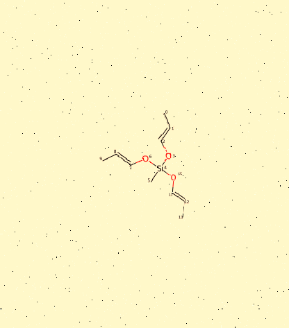 CC=CO[Si](C)(OC=CC)OC=CC